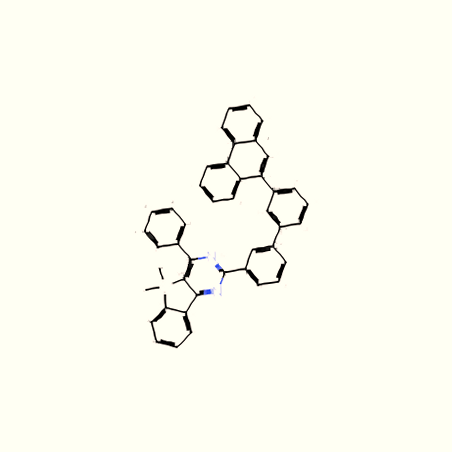 C[Si]1(C)c2ccccc2-c2nc(-c3cccc(-c4cccc(-c5cc6ccccc6c6ccccc56)c4)c3)nc(-c3ccccc3)c21